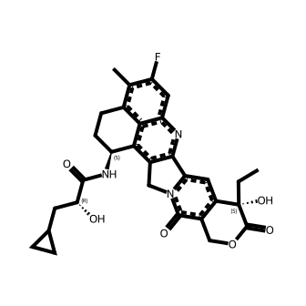 CC[C@@]1(O)C(=O)OCc2c1cc1n(c2=O)Cc2c-1nc1cc(F)c(C)c3c1c2[C@@H](NC(=O)[C@H](O)CC1CC1)CC3